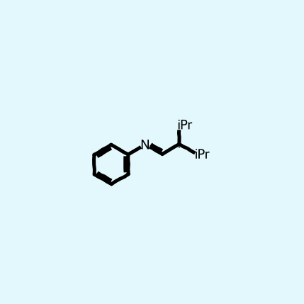 CC(C)[C](C=Nc1ccccc1)C(C)C